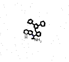 C=C(N)/C(=C1/C=CC2CCCNC2C1)c1ccccc1Cc1cc(C2=CC=CCC2)cc(-c2ccccc2)c1